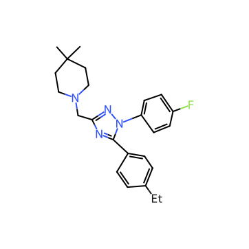 CCc1ccc(-c2nc(CN3CCC(C)(C)CC3)nn2-c2ccc(F)cc2)cc1